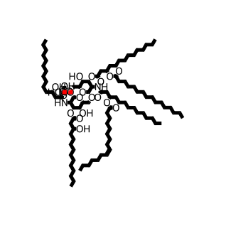 CCCCCC/C=C\CCCCCCCC(=O)OC(CCCCCCCCCCC)CC(=O)NC1[C@H](OCC2OC(OP(=O)(O)O)C(NC(=O)CC(O)CCCCCCCCCCC)[C@@H](OC(=O)CC(O)CCCCCCCCCCC)[C@@H]2O)OC(CO)[C@@H](O)[C@@H]1OC(=O)CC(CCCCCCCCCCC)OC(=O)CCCCCCCCCCCCCCC